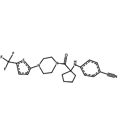 N#Cc1ccc(NC2(C(=O)N3CCN(c4ccc(C(F)(F)F)s4)CC3)CCCC2)cc1